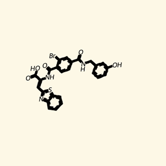 O=C(O)C(=Cc1nc2ccccc2s1)NC(=O)c1ccc(C(=O)NCc2cccc(O)c2)cc1Br